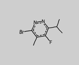 Cc1c(Br)nnc(C(C)C)c1F